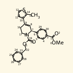 COC(=O)c1ccc([C@@H]2C=C(c3ccsc3C)CCN2C(=O)OCc2ccccc2)cc1